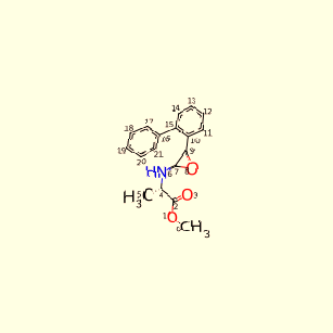 COC(=O)[C@H](C)NC1OC1c1ccccc1-c1ccccc1